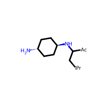 CC(=O)C(CC(C)C)N[C@H]1CC[C@H](N)CC1